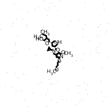 COCCCOc1cc(CN(C(=O)[C@H]2CNC[C@@H](C(=O)CC(CO)CC(C)C)C2)C2CC2)cc(OC)n1